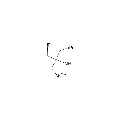 CC(C)CC1(CC(C)C)CN=CN1